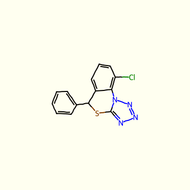 Clc1cccc2c1-n1nnnc1SC2c1ccccc1